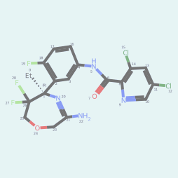 CC[C@]1(c2cc(NC(=O)c3ncc(Cl)cc3Cl)ccc2F)N=C(N)COCC1(F)F